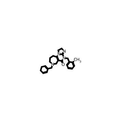 Cc1ccccc1CN1C(=O)C2=C(CCCN(CC3=CCCC=C3)C2)N2CCN=C12